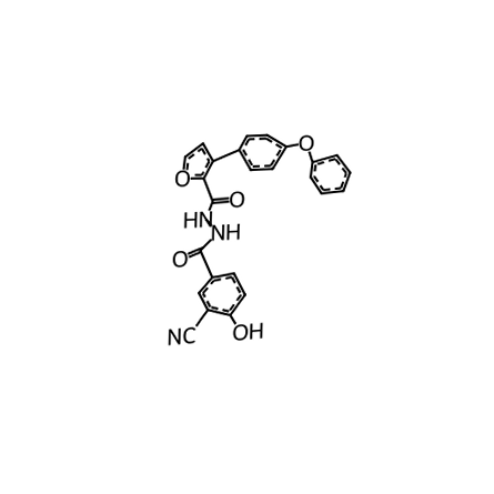 N#Cc1cc(C(=O)NNC(=O)c2occc2-c2ccc(Oc3ccccc3)cc2)ccc1O